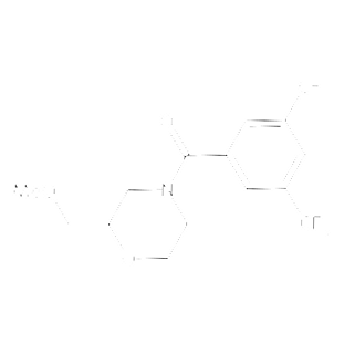 COC[C@@H]1CN(C(=O)c2cc(C(F)(F)F)cc(C(F)(F)F)c2)CCO1